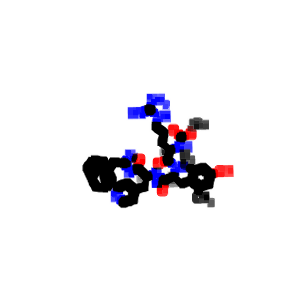 Cc1cc(O)cc(C)c1C[C@H](NC(=O)[C@@H](CCCNC(=N)N)NC(=O)OC(C)(C)C)C(=O)N[C@@H](Cc1ccncc1)c1nc(CC23CC4CC(CC(C4)C2)C3)no1